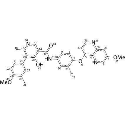 COc1cnc2c(Oc3ccc(NC(=O)c4cnc(C)c(-c5ccc(OC)c(C)c5)c4O)cc3F)ccnc2c1